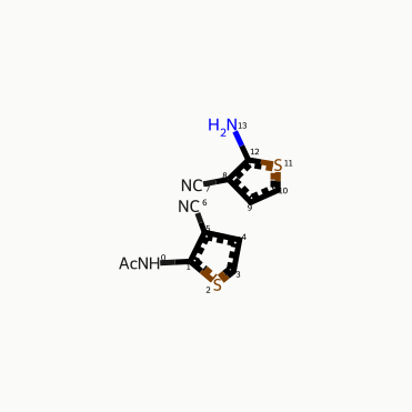 CC(=O)Nc1sccc1C#N.N#Cc1ccsc1N